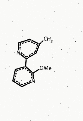 COc1ncccc1-c1cc(C)ccn1